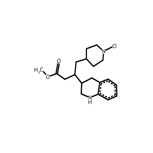 COC(=O)CC(CC1CCN(Cl)CC1)C1CNc2ccccc2C1